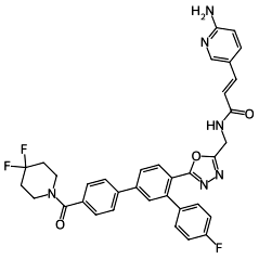 Nc1ccc(C=CC(=O)NCc2nnc(-c3ccc(-c4ccc(C(=O)N5CCC(F)(F)CC5)cc4)cc3-c3ccc(F)cc3)o2)cn1